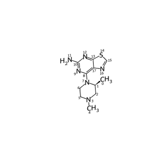 C[C@H]1CN(C)CCN1c1nc(N)nc2scnc12